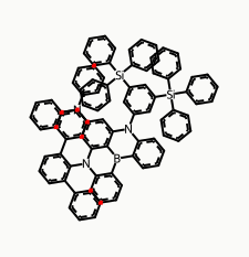 c1ccc(-c2cccc(-c3ccccc3)c2N2c3ccccc3B3c4ccccc4N(c4cc([Si](c5ccccc5)(c5ccccc5)c5ccccc5)cc([Si](c5ccccc5)(c5ccccc5)c5ccccc5)c4)c4cc(N(c5ccccc5)c5ccccc5)cc2c43)cc1